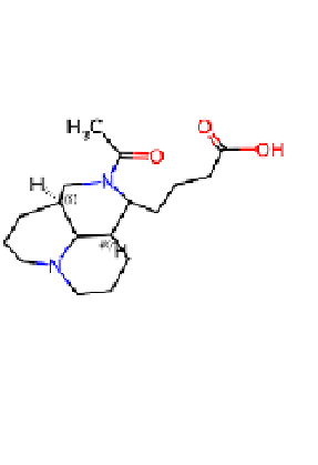 CC(=O)N1C[C@@H]2CCCN3CCC[C@@H](C23)C1CCCC(=O)O